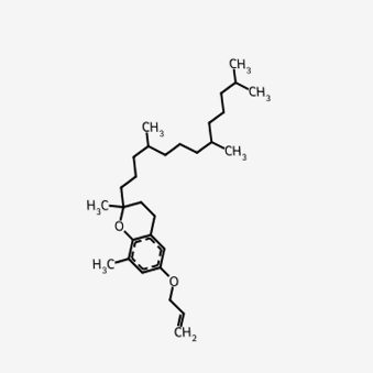 C=CCOc1cc(C)c2c(c1)CCC(C)(CCCC(C)CCCC(C)CCCC(C)C)O2